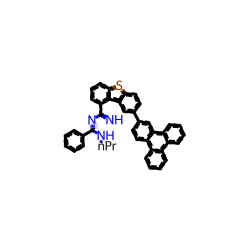 CCCN/C(=N\C(=N)c1cccc2sc3ccc(-c4ccc5c6ccccc6c6ccccc6c5c4)cc3c12)c1ccccc1